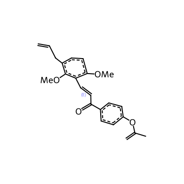 C=CCc1ccc(OC)c(/C=C/C(=O)c2ccc(OC(=C)C)cc2)c1OC